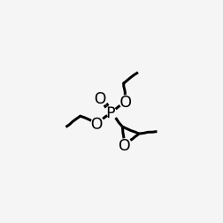 CCOP(=O)(OCC)C1OC1C